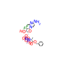 C=C1N=C(N)C=CN1[C@@H]1O[C@H](COP(=O)(OC)OP(C)(=O)N[C@@H](C)C(=O)OCc2ccccc2)C(O)C1(F)F